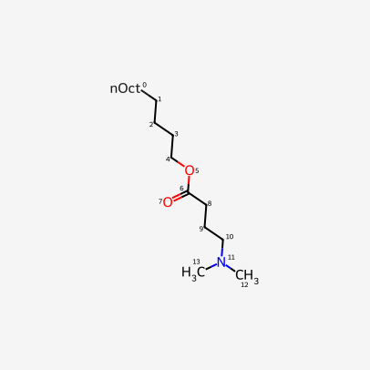 CCCCCCCCCCCCOC(=O)CCCN(C)C